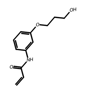 C=CC(=O)Nc1cccc(OCCCO)c1